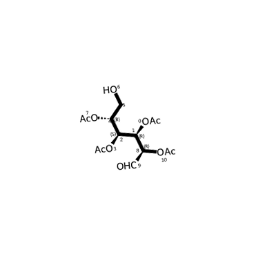 CC(=O)O[C@H]([C@@H](OC(C)=O)[C@@H](CO)OC(C)=O)[C@H](C=O)OC(C)=O